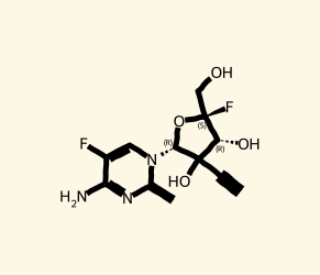 C#CC1(O)[C@@H](O)[C@@](F)(CO)O[C@H]1N1C=C(F)C(N)=NC1=C